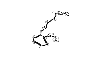 CCSc1ccccc1/C=N/CCCC=O